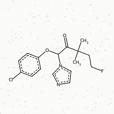 CC(C)(CCF)C(=O)C(Oc1ccc(Cl)cc1)n1ccnc1